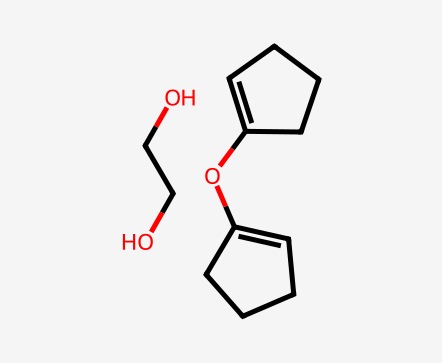 C1=C(OC2=CCCC2)CCC1.OCCO